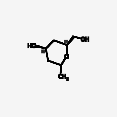 CC1C[C@@H](O)C[C@@H](CO)O1